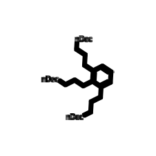 CCCCCCCCCCCCCc1c[c]cc(CCCCCCCCCCCCC)c1CCCCCCCCCCCCC